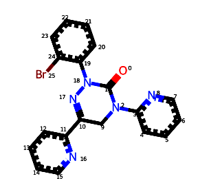 O=C1N(c2ccccn2)CC(c2ccccn2)=NN1c1ccccc1Br